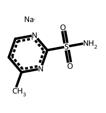 Cc1ccnc(S(N)(=O)=O)n1.[Na]